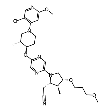 COCCCO[C@H]1CN(c2cnc(O[C@@H]3CCN(c4cc(OC)ncc4Cl)C[C@H]3C)cn2)[C@@H](CC#N)[C@@H]1C